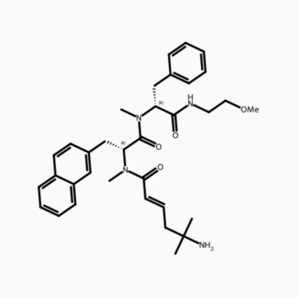 COCCNC(=O)[C@@H](Cc1ccccc1)N(C)C(=O)[C@@H](Cc1ccc2ccccc2c1)N(C)C(=O)C=CCC(C)(C)N